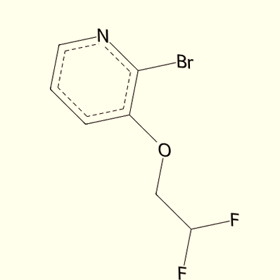 FC(F)COc1cccnc1Br